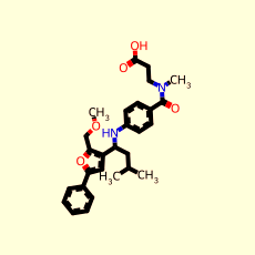 COCc1oc(-c2ccccc2)cc1C(CC(C)C)Nc1ccc(C(=O)N(C)CCC(=O)O)cc1